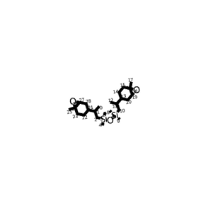 CC(C[Si](C)(C)O[Si](C)(C)CC(C)C1CCC2(C)OC2C1)C1CCC2(C)OC2C1